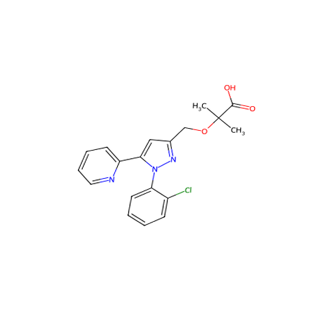 CC(C)(OCc1cc(-c2ccccn2)n(-c2ccccc2Cl)n1)C(=O)O